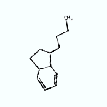 CCCCC1CCC2C=CC=CC21